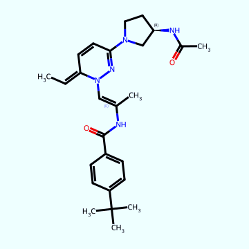 CC=C1C=CC(N2CC[C@@H](NC(C)=O)C2)=NN1/C=C(\C)NC(=O)c1ccc(C(C)(C)C)cc1